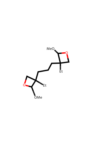 CCC1(CCCC2(CC)COC2OC)COC1OC